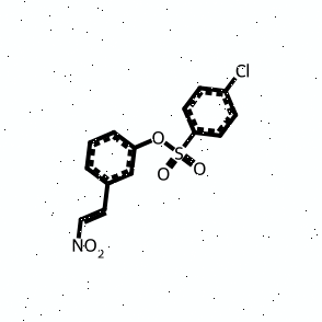 O=[N+]([O-])C=Cc1cccc(OS(=O)(=O)c2ccc(Cl)cc2)c1